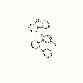 Ic1cc(-c2ccccc2-c2ccccc2)nc(-c2cccc3oc4ccccc4c23)n1